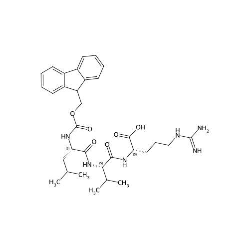 CC(C)C[C@H](NC(=O)OCC1c2ccccc2-c2ccccc21)C(=O)N[C@H](C(=O)N[C@@H](CCCNC(=N)N)C(=O)O)C(C)C